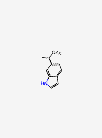 CC(=O)OC(C)c1ccc2cc[nH]c2c1